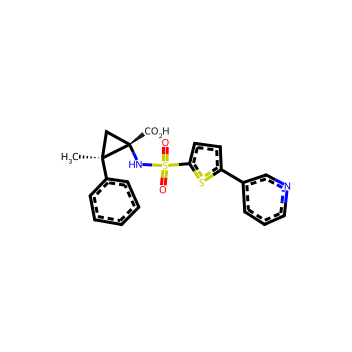 C[C@]1(c2ccccc2)C[C@@]1(NS(=O)(=O)c1ccc(-c2cccnc2)s1)C(=O)O